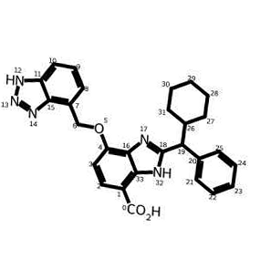 O=C(O)c1ccc(OCc2cccc3[nH]nnc23)c2nc(C(c3ccccc3)C3CCCCC3)[nH]c12